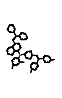 Cc1ccc(C(=Cc2ccc(N(c3ccc(C)cc3C)c3ccc(C=C(c4ccccc4)c4ccccc4)c4ccccc34)cc2)c2ccc(C)cc2)cc1